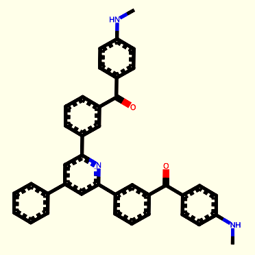 CNc1ccc(C(=O)c2cccc(-c3cc(-c4ccccc4)cc(-c4cccc(C(=O)c5ccc(NC)cc5)c4)n3)c2)cc1